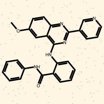 COc1ccc2nc(-c3cccnc3)nc(Nc3ccccc3C(=O)Nc3ccccc3)c2c1